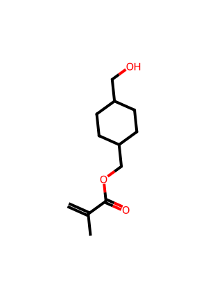 C=C(C)C(=O)OCC1CCC(CO)CC1